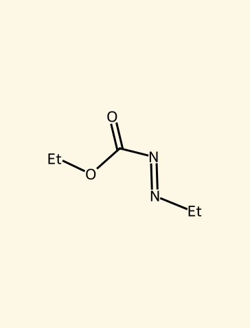 CCN=NC(=O)OCC